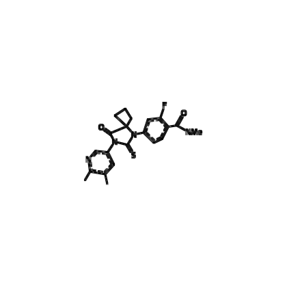 CNC(=O)c1ccc(N2C(=S)N(c3cnc(C)c(C)c3)C(=O)C23CCC3)cc1F